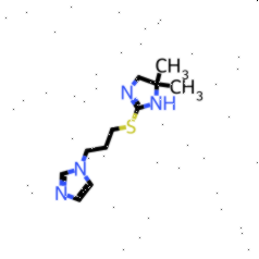 CC1(C)CN=C(SCCCn2ccnc2)N1